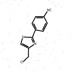 [C-]#[N+]c1ccc(-c2nc(CCl)cs2)cc1